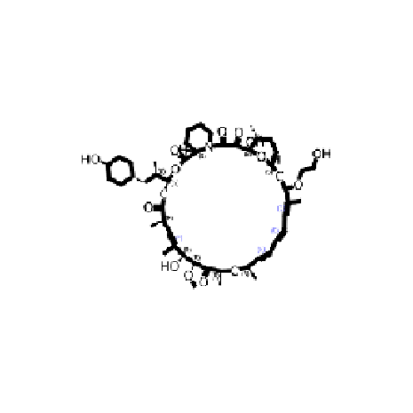 CO[C@H]1C(=O)[C@H](C)C[C@H](C)/C=C/C=C/C=C(\C)C(OCCO)C[C@@H]2CC[C@@H](C)[C@@](O)(O2)C(=O)C(=O)N2CCCC[C@H]2C(=O)O[C@H]([C@H](C)C[C@H]2CC[C@H](O)CC2)CC(=O)[C@H](C)/C=C(\C)[C@H]1O